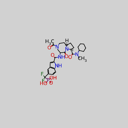 CC(=O)N1CC[C@H]2CC[C@@H](C(=O)N(C)C3CCCCC3)N2C(=O)C(NC(=O)c2cc3cc(C(F)(F)P(=O)(O)O)ccc3[nH]2)C1